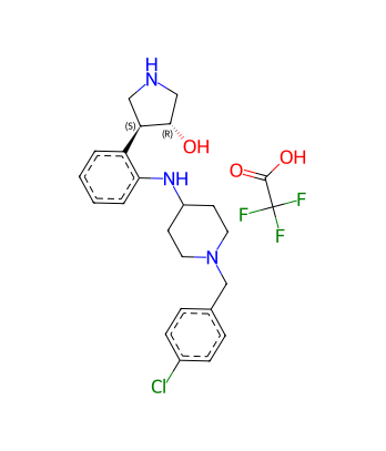 O=C(O)C(F)(F)F.O[C@H]1CNC[C@@H]1c1ccccc1NC1CCN(Cc2ccc(Cl)cc2)CC1